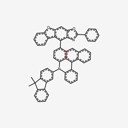 CC1(C)c2ccccc2-c2cc(N(c3ccc(-c4c5nc(-c6ccccc6)oc5cc5oc6ccccc6c45)cc3)c3ccccc3-c3cccc4ccccc34)ccc21